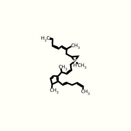 C=C/C=C\C=C(\C)CC1C[PH]1(C)C/C=C\C(C)C1=C(/C=C/C/C=C\C)C(C)C=C1